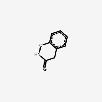 [Se]=C1Cc2ccccc2ON1